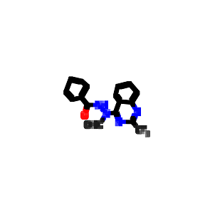 O=CN(NC(=O)c1ccccc1)c1nc(C(F)(F)F)nc2ccccc12